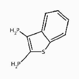 Pc1sc2ccccc2c1P